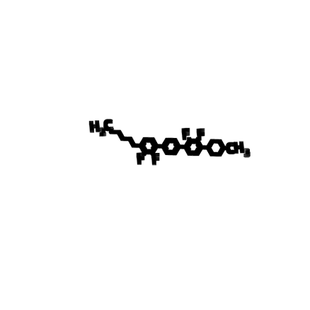 C=CCCCCc1ccc(-c2ccc(-c3ccc(C4CCC(C)CC4)c(F)c3F)cc2)c(F)c1F